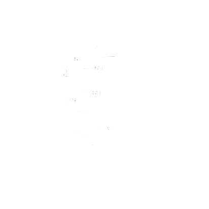 N=C(Nc1ccc(F)c(Br)c1)c1nonc1NC(=O)C1CCCC1